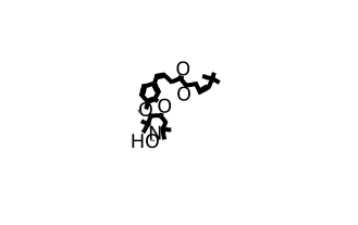 COc1ccc(/C=C\CC(=O)C(=O)C/C=C\C(C)(C)C)cc1OC1CC(C)(C)N(O)C(C)(C)C1